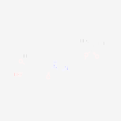 COc1cc(CC(=O)Nc2cccc(-c3cccc(OC(=O)C(C)C)c3)n2)ccc1O